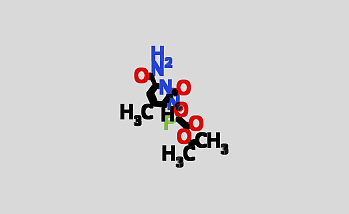 CC1=C[C@@H](C(N)=O)N2C[C@@H]1N(O[C@@H](F)C(=O)OC(C)C)C2=O